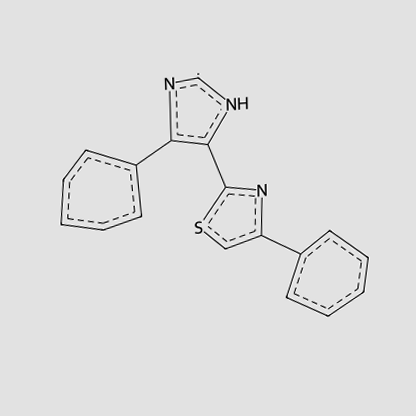 [c]1nc(-c2ccccc2)c(-c2nc(-c3ccccc3)cs2)[nH]1